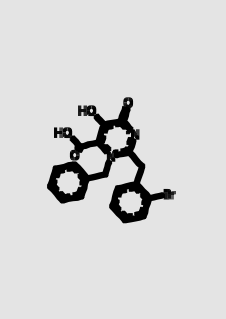 O=C(O)c1c(O)c(=O)nc(Cc2ccccc2Br)n1Cc1ccccc1